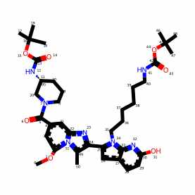 COc1cc(C(=O)N2CCC[C@@H](NC(=O)OC(C)(C)C)C2)cc2nc(-c3cc4ccc(O)nc4n3CCCCCCNC(=O)OC(C)(C)C)c(C)n12